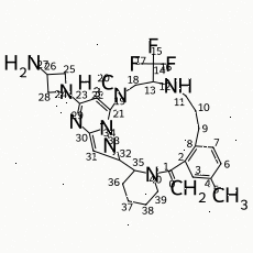 C=C1c2cc(C)ccc2CCCNC(C(F)(F)F)CN(C)c2cc(N3CC(N)C3)nc3cc(nn23)C2CCCCN12